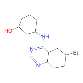 CCC1CCC2N=CN=C(NC3CCCC(O)C3)C2C1